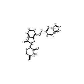 C=C1CCC(N2Cc3c(OCc4ccc5nccn5c4)cccc3C2=O)C(=O)N1